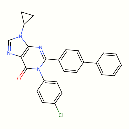 O=c1c2ncn(C3CC3)c2nc(-c2ccc(-c3ccccc3)cc2)n1-c1ccc(Cl)cc1